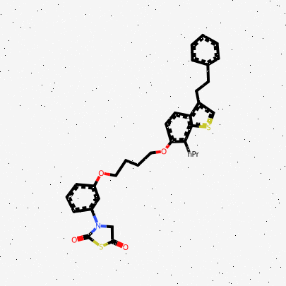 CCCc1c(OCCCCOc2cccc(N3CC(=O)SC3=O)c2)ccc2c(CCc3ccccc3)csc12